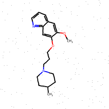 COc1cc2cccnc2cc1OCCCN1CCC(C)CC1